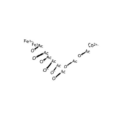 CC(=O)[O-].CC(=O)[O-].CC(=O)[O-].CC(=O)[O-].CC(=O)[O-].CC(=O)[O-].CC(=O)[O-].CC(=O)[O-].[Co+2].[Fe+3].[Fe+3]